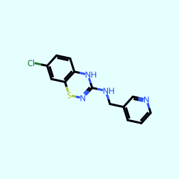 Clc1ccc2c(c1)SN=C(NCc1cccnc1)N2